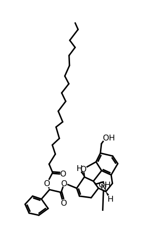 CCCCCCCCCCCCCCCCCC(=O)O[C@H](C(=O)OC1=CC[C@@]2(O)[C@H]3Cc4ccc(CO)c5c4[C@@]2(CCN3C)[C@H]1O5)c1ccccc1